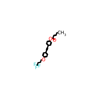 CC/C=C/C(=O)Oc1ccc(C#Cc2ccc(OCCCC(F)(F)F)cc2)cc1